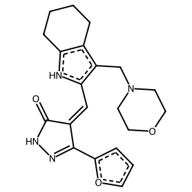 O=C1NN=C(c2ccco2)C1=Cc1[nH]c2c(c1CN1CCOCC1)CCCC2